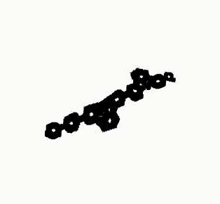 COc1ccc2c(c1)c1cccc3c4cc(-c5cc6c7cccc8c9cc(-c%10ccc(-c%11ccccc%11)cc%10)cc%10c(c5)c6n(c87)c9%10)ccc4n2c13